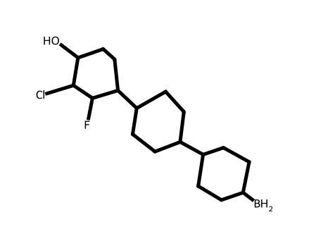 BC1CCC(C2CCC(C3CCC(O)C(Cl)C3F)CC2)CC1